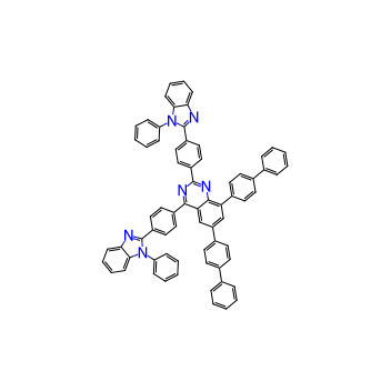 c1ccc(-c2ccc(-c3cc(-c4ccc(-c5ccccc5)cc4)c4nc(-c5ccc(-c6nc7ccccc7n6-c6ccccc6)cc5)nc(-c5ccc(-c6nc7ccccc7n6-c6ccccc6)cc5)c4c3)cc2)cc1